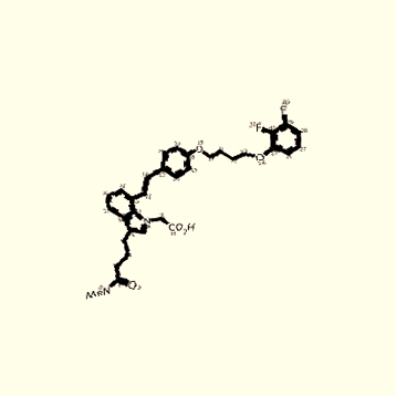 CNC(=O)CCCc1cn(CC(=O)O)c2c(C=Cc3ccc(OCCCCOc4cccc(F)c4F)cc3)cccc12